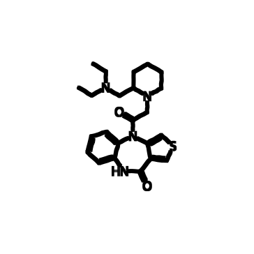 CCN(CC)CC1CCCCN1CC(=O)N1c2ccccc2NC(=O)c2cscc21